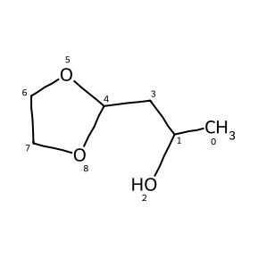 CC(O)CC1OCCO1